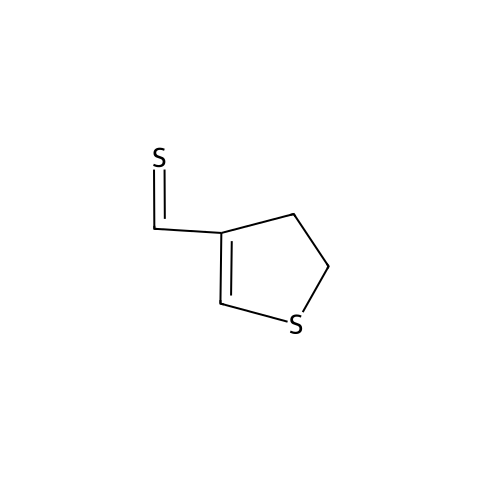 S=CC1=CSCC1